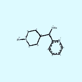 CSC(c1ccccn1)C1CCN(C(C)C)CC1